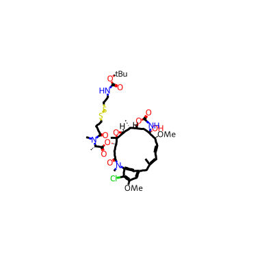 COc1cc2cc(c1Cl)N(C)C(=O)C[C@H](OC(=O)[C@H](C)N(C)C(=O)CCSSCCNC(=O)OC(C)(C)C)C1(C)O[C@H]1[C@H](C)[C@@H]1C[C@@](O)(NC(=O)O1)[C@H](OC)/C=C/C=C(\C)C2